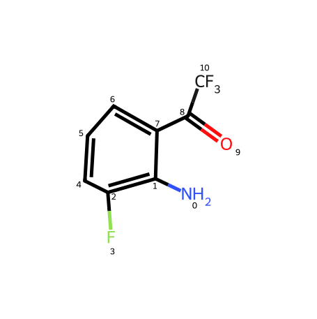 Nc1c(F)cccc1C(=O)C(F)(F)F